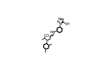 Cc1ccc(N(CCCNc2cccc(-n3nnnc3S)c2)C(C)C(=O)O)c(C)c1